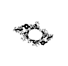 CC(C)C[C@H]1C(=O)O[C@H](Cc2ccc(Cn3ccc(C(F)(F)F)n3)cc2)C(=O)N(C)[C@@H](CC(C)C)C(=O)O[C@H](C)C(=O)N(C)[C@@H](CC(C)C)C(=O)O[C@H](Cc2ccc(Cn3ccc(C(F)(F)F)n3)cc2)C(=O)N(C)[C@@H](CC(C)C)C(=O)O[C@H](C)C(=O)N1C